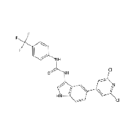 O=C(Nc1ccc(C(F)(F)F)cc1)Nc1c[nH]c2ccc(-c3cc(Cl)nc(Cl)c3)cc12